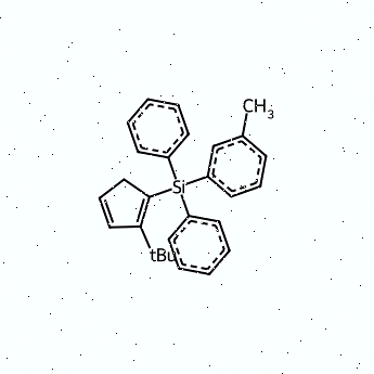 Cc1cccc([Si](C2=C(C(C)(C)C)C=CC2)(c2ccccc2)c2ccccc2)c1